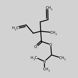 C=CCC(C)(CC=C)C(=O)OC(C)N(C)C